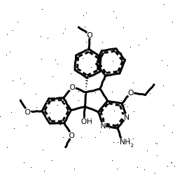 CCOc1nc(N)nc2c1C(c1ccccc1)[C@]1(c3ccc(OC)cc3)Oc3cc(OC)cc(OC)c3C21O